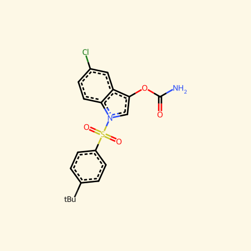 CC(C)(C)c1ccc(S(=O)(=O)n2cc(OC(N)=O)c3cc(Cl)ccc32)cc1